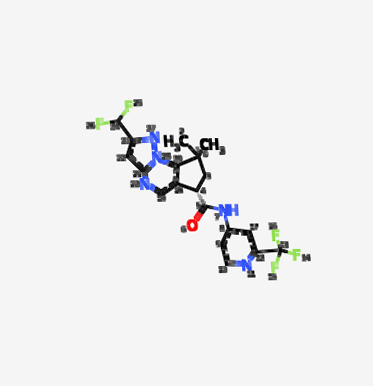 CC1(C)C[C@H](C(=O)Nc2ccnc(C(F)(F)F)c2)c2cnc3cc(C(F)F)nn3c21